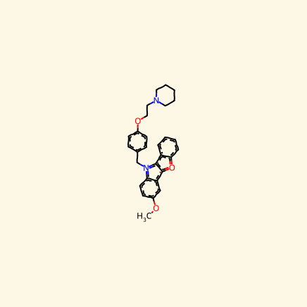 COc1ccc2c(c1)c1oc3ccccc3c1n2Cc1ccc(OCCN2CCCCC2)cc1